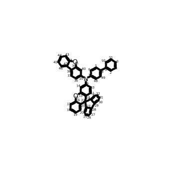 c1ccc(-c2ccc(N(c3ccc4c(c3)Oc3ccccc3C43c4ccccc4-c4ccccc43)c3ccc4c(c3)oc3ccccc34)cc2)cc1